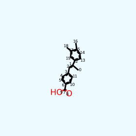 C/C(=C\c1ccc(C(=O)O)cc1)c1ccc(C)c(C)c1